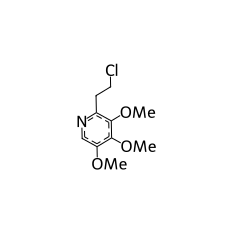 COc1cnc(CCCl)c(OC)c1OC